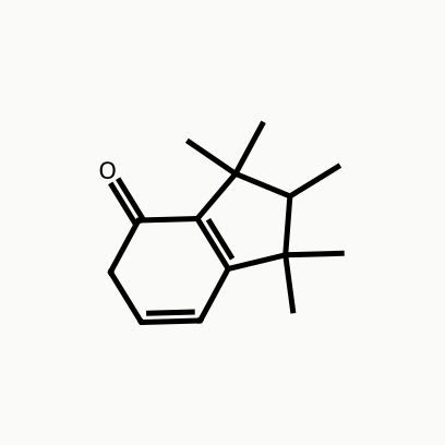 CC1C(C)(C)C2=C(C(=O)CC=C2)C1(C)C